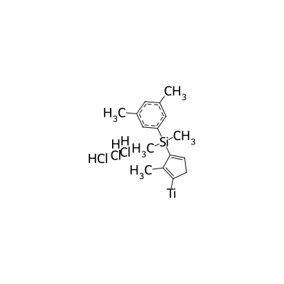 CC1=[C]([Ti])CC=C1[Si](C)(C)c1cc(C)cc(C)c1.Cl.Cl.Cl